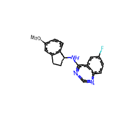 COc1ccc2c(c1)CCC2Nc1ncnc2ccc(F)cc12